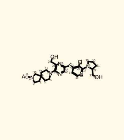 CC(=O)N1CCC2(CCN(c3ncc(Sc4ccnc(N5CCCC5CO)c4Cl)nc3CO)CC2)C1